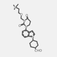 C[Si](C)(C)CCOCN1C(=O)CCN(c2cccc3c2ccn3C2CCC(C=O)CC2)C1=O